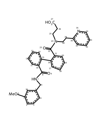 COc1cccc(CNC(=O)c2ccccc2-c2ccccc2C(=O)N(CCC(=O)O)CCc2ccccn2)c1